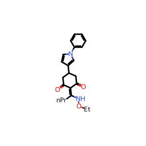 CCCC(NOCC)=C1C(=O)CC(c2ccn(-c3ccccc3)c2)CC1=O